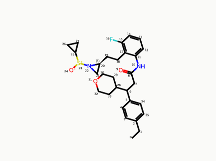 CCc1ccc(C(CC(=O)Nc2cccc(F)c2CC[C@H]2CN2[S+]([O-])C2CC2)C2CCOCC2)cc1